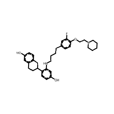 Oc1ccc2c(c1)CCC(c1ccc(O)cc1NCCCCc1ccc(OCCN3CCCCC3)c(F)c1)C2